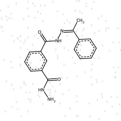 CC(=NNC(=O)c1cccc(C(=O)NN)c1)c1ccccc1